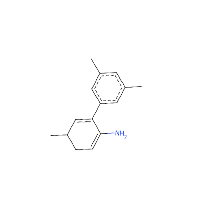 Cc1cc(C)cc(C2=CC(C)CC=C2N)c1